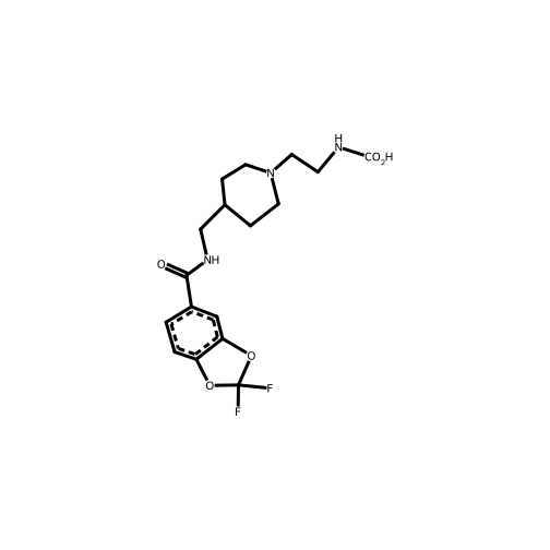 O=C(O)NCCN1CCC(CNC(=O)c2ccc3c(c2)OC(F)(F)O3)CC1